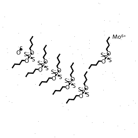 CCCCOP(=S)([S-])OCCCC.CCCCOP(=S)([S-])OCCCC.CCCCOP(=S)([S-])OCCCC.CCCCOP(=S)([S-])OCCCC.CCCCOP(=S)([S-])OCCCC.CCCCOP(=S)([S-])OCCCC.O=S.[Mo+6]